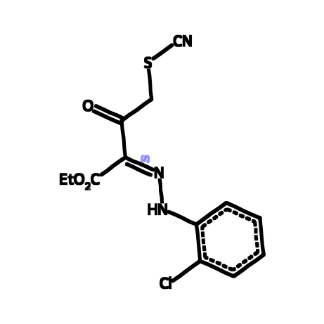 CCOC(=O)/C(=N\Nc1ccccc1Cl)C(=O)CSC#N